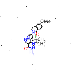 COc1ccc2c(c1)CCN(c1cc3c(N[C@H](C)C(C)(C)F)c(C(N)=O)cnn3c1)C2=O